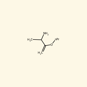 C=C(OCCC)C(C)N